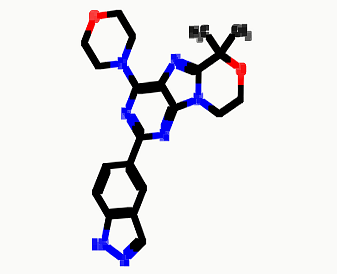 CC1(C)OCCn2c1nc1c(N3CCOCC3)nc(-c3ccc4[nH]ncc4c3)nc12